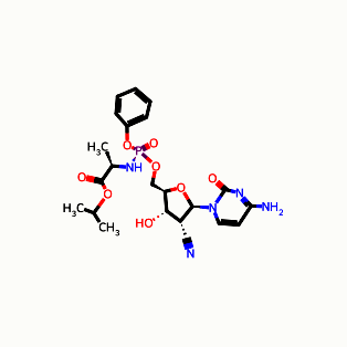 CC(C)OC(=O)[C@@H](C)N[P@](=O)(OC[C@H]1O[C@@H](n2ccc(N)nc2=O)[C@H](C#N)[C@@H]1O)Oc1ccccc1